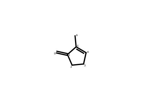 C=C1CCC=C1C